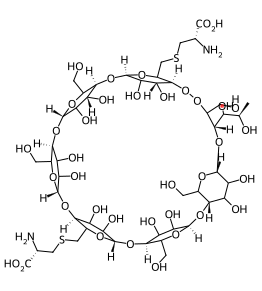 C[C@@H](O)C(O)[C@@H]1O[C@H]2OC(CO)[C@@H](O[C@H]3OC(CO)[C@@H](O[C@@H]4OC(CSC[C@@H](N)C(=O)O)[C@@H](O[C@@H]5OC(CO)[C@@H](O[C@@H]6OC(CO)[C@@H](O[C@H]7OC(CSC[C@@H](N)C(=O)O)[C@@H](OOC1CO)[C@H](O)C7O)[C@H](O)C6O)C(O)C5O)C(O)C4O)C(O)C3O)C(O)C2O